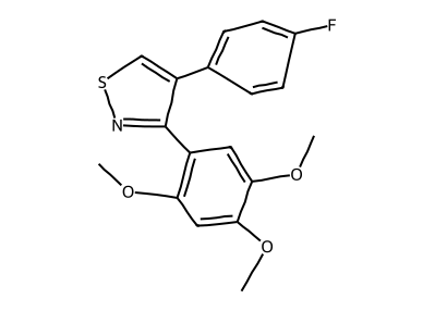 COc1cc(OC)c(-c2nscc2-c2ccc(F)cc2)cc1OC